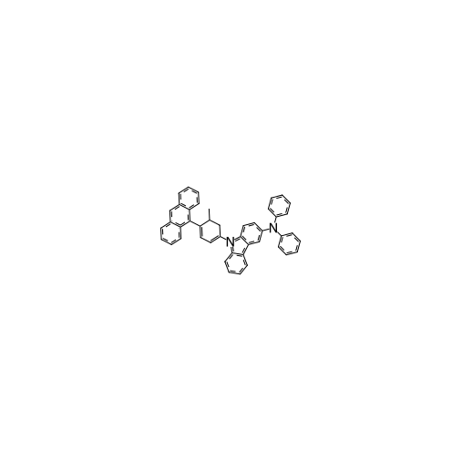 CC1CC(n2c3ccccc3c3cc(N(c4ccccc4)c4ccccc4)ccc32)=CC=C1c1c2ccccc2cc2ccccc12